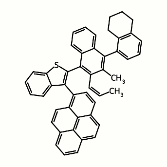 C/C=C\c1c(C)c(-c2cccc3c2CCCC3)c2ccccc2c1-c1sc2ccccc2c1-c1ccc2ccc3cccc4ccc1c2c34